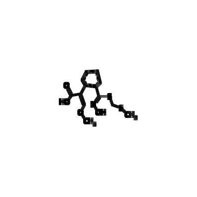 COC=C(C(=O)O)c1ccccc1C(=NO)SCSC